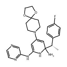 C[C@@H](c1ccc(F)cc1)C1(N)C=C(N2CCC3(CC2)OCCO3)C=C(Nc2cnccn2)N1